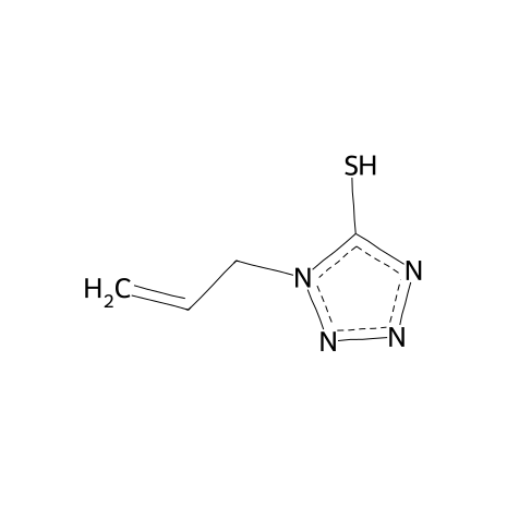 C=CCn1nnnc1S